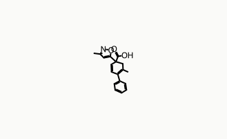 CC1=C(c2ccccc2)C=CC(C(=O)O)(c2cc(C)no2)C1